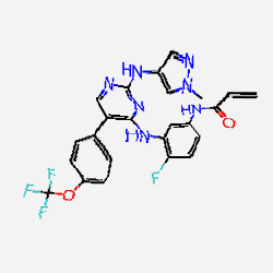 C=CC(=O)Nc1ccc(F)c(Nc2nc(Nc3cnn(C)c3)ncc2-c2ccc(OC(F)(F)F)cc2)c1